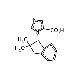 CC1(C)Cc2ccccc2C1n1cncc1C(=O)O